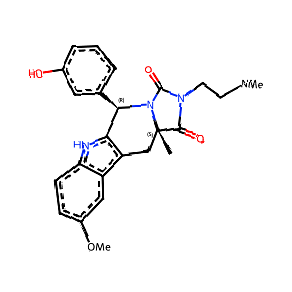 CNCCN1C(=O)N2[C@H](c3cccc(O)c3)c3[nH]c4ccc(OC)cc4c3C[C@@]2(C)C1=O